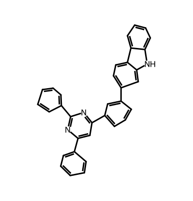 c1ccc(-c2cc(-c3cccc(-c4ccc5c(c4)[nH]c4ccccc45)c3)nc(-c3ccccc3)n2)cc1